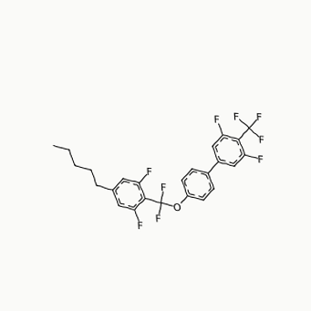 CCCCCc1cc(F)c(C(F)(F)Oc2ccc(-c3cc(F)c(C(F)(F)F)c(F)c3)cc2)c(F)c1